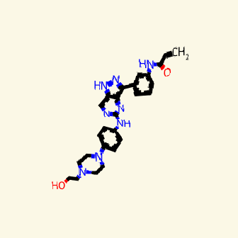 C=CC(=O)Nc1cccc(-c2n[nH]c3cnc(Nc4ccc(N5CCN(CCO)CC5)cc4)nc23)c1